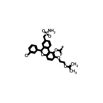 C=C(C)OCCOc1ccc2c(c1OC(F)F)-c1ccc(CS(N)(=O)=O)cc1C(c1cccc(Cl)c1)O2